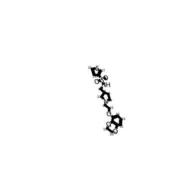 O=S(=O)(NCC1CCN(CCOc2cccc3c2OCCO3)C1)c1ccsc1